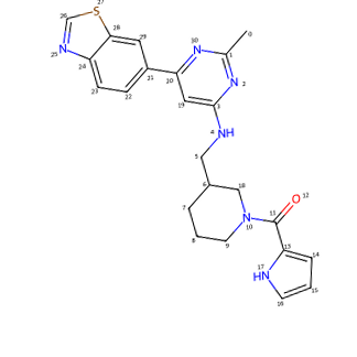 Cc1nc(NCC2CCCN(C(=O)c3ccc[nH]3)C2)cc(-c2ccc3ncsc3c2)n1